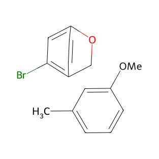 Brc1cc2ccc1CO2.COc1cccc(C)c1